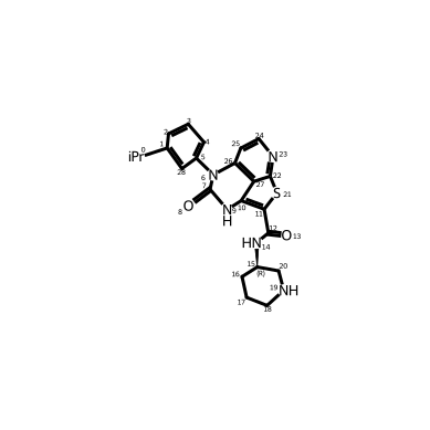 CC(C)c1cccc(N2C(=O)Nc3c(C(=O)N[C@@H]4CCCNC4)sc4nccc2c34)c1